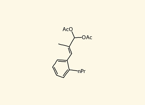 CCCc1ccccc1/C=C(\C)C(OC(C)=O)OC(C)=O